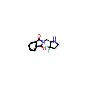 O=C1c2ccccc2C(=O)N1C[C@H]1NCCC1(F)F